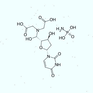 NP(=O)(O)O.O=C(O)CN(CC(=O)O)C(O)[C@H]1O[C@@H](n2ccc(=O)[nH]c2=O)C[C@@H]1O